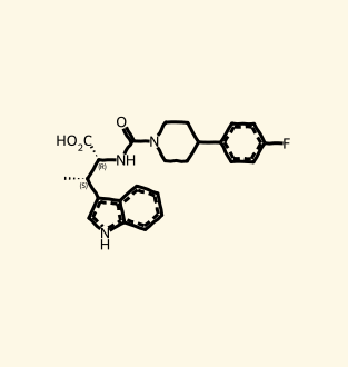 C[C@@H](c1c[nH]c2ccccc12)[C@@H](NC(=O)N1CCC(c2ccc(F)cc2)CC1)C(=O)O